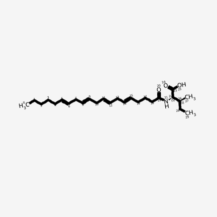 CCCCCC=CCC=CCC=CCC=CCCCC(=O)N[C@H](C(=O)O)[C@@H](C)CC